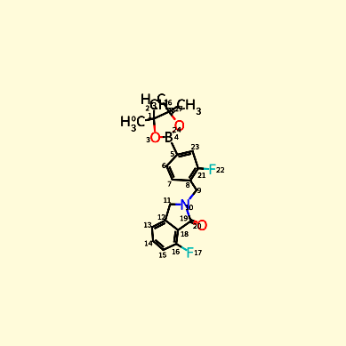 CC1(C)OB(c2ccc(CN3Cc4cccc(F)c4C3=O)c(F)c2)OC1(C)C